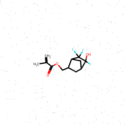 C=C(C)C(=O)OCC1CC2CC1C(F)(F)C2(O)F